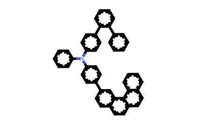 c1ccc(-c2ccccc2-c2ccc(N(c3ccccc3)c3ccc(-c4ccc5ccc6ccc7ccccc7c6c5c4)cc3)cc2)cc1